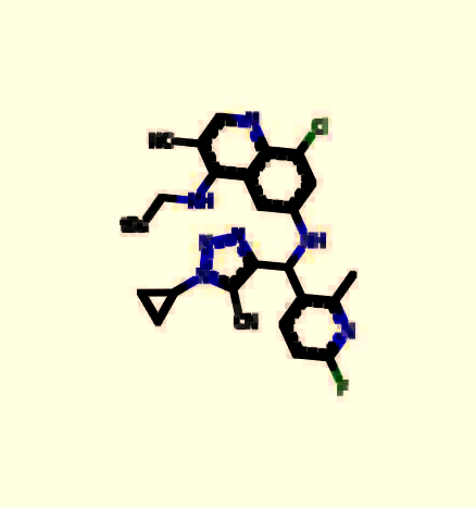 Cc1nc(F)ccc1C(Nc1cc(Cl)c2ncc(C#N)c(NCC(C)(C)C)c2c1)c1nnn(C2CC2)c1C#N